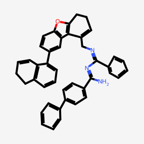 N/C(=N\C(=N/CC1=CCCc2oc3ccc(-c4cccc5c4C=CCC5)cc3c21)c1ccccc1)c1ccc(-c2ccccc2)cc1